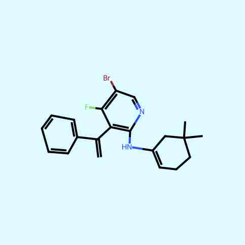 C=C(c1ccccc1)c1c(NC2=CCCC(C)(C)C2)ncc(Br)c1F